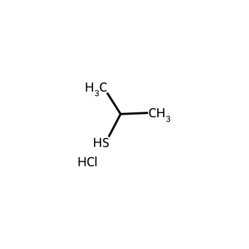 CC(C)S.Cl